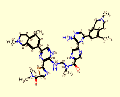 Cc1cc(-c2cnc(N)c(-c3cnc(C(=O)N(C)CNc4ncc(-c5cc(C)c6c(c5)CN(C)CC6)nc4-c4ncc(C(=O)N(C)C)s4)cn3)n2)cc2c1CCN(C)C2